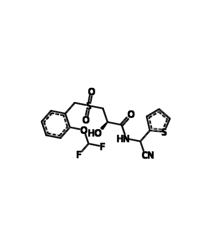 N#CC(NC(=O)[C@@H](O)CS(=O)(=O)Cc1ccccc1OC(F)F)c1cccs1